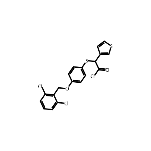 O=C(Cl)C(Sc1ccc(OCc2c(Cl)cccc2Cl)cc1)c1ccsc1